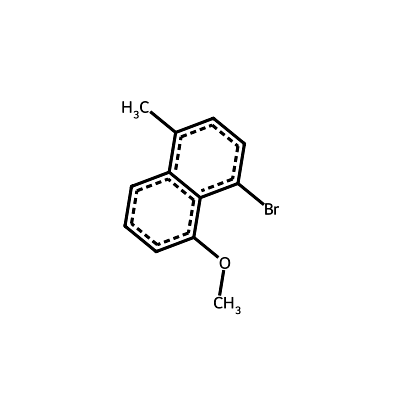 COc1cccc2c(C)ccc(Br)c12